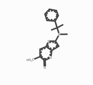 CN(c1cc2oc(=O)c(C(=O)O)cc2s1)C(C)(C)c1ccccc1